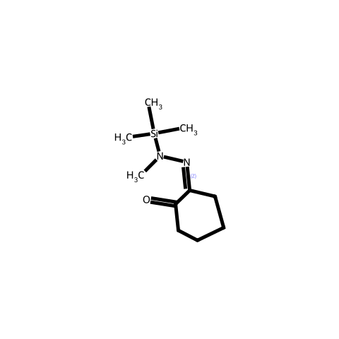 CN(/N=C1/CCCCC1=O)[Si](C)(C)C